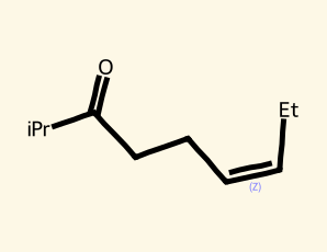 CC/C=C\CCC(=O)C(C)C